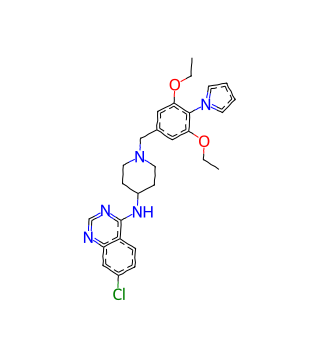 CCOc1cc(CN2CCC(Nc3ncnc4cc(Cl)ccc34)CC2)cc(OCC)c1-n1cccc1